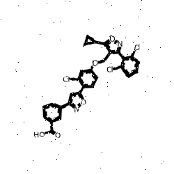 O=C(O)c1cccc(-c2cc(-c3ccc(OCc4c(-c5c(Cl)cccc5Cl)noc4C4CC4)cc3Cl)on2)c1